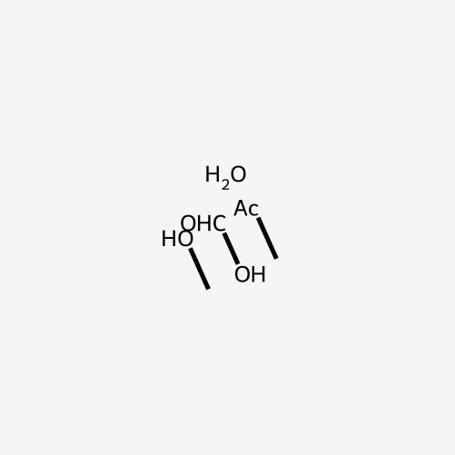 CC(C)=O.CO.O.O=CO